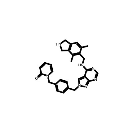 Cc1cc2c(c(C)c1CNc1ncnc3nn(Cc4ccc(Cn5ccccc5=O)cc4)cc13)CNC2